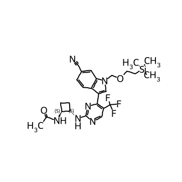 CC(=O)N[C@H]1CC[C@@H]1Nc1ncc(C(F)(F)F)c(-c2cn(COCC[Si](C)(C)C)c3cc(C#N)ccc23)n1